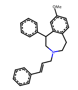 COc1ccc2c(c1)C(c1ccccc1)CN(CC=Cc1ccccc1)CC2